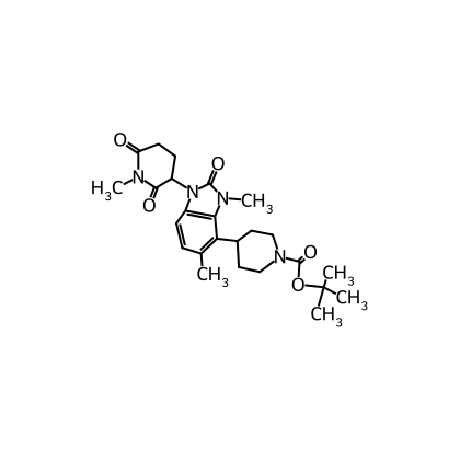 Cc1ccc2c(c1C1CCN(C(=O)OC(C)(C)C)CC1)n(C)c(=O)n2C1CCC(=O)N(C)C1=O